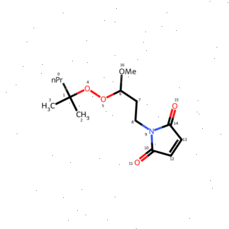 CCCC(C)(C)OOC(CCN1C(=O)C=CC1=O)OC